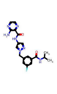 CC(C)NC(=O)c1cc(F)cc(Cn2cc(NC(=O)c3nccnc3N)cn2)c1